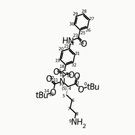 CC(C)(C)OC(=O)[C@H](CCCCN)N(C(=O)OC(C)(C)C)S(=O)(=O)c1ccc(NC(=O)c2ccccc2)cc1